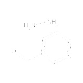 NN.O=Cc1cccnc1